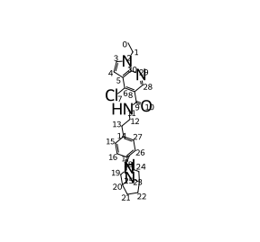 CCn1ccc2c(Cl)c(C(=O)NCCc3ccc(N4CC5CCC(C4)N5)cc3)cnc21